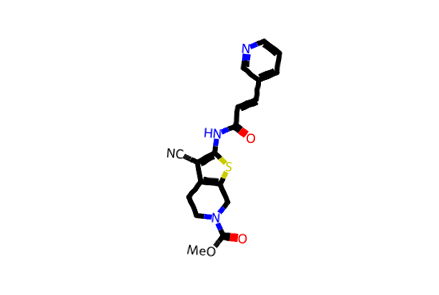 COC(=O)N1CCc2c(sc(NC(=O)C=Cc3cccnc3)c2C#N)C1